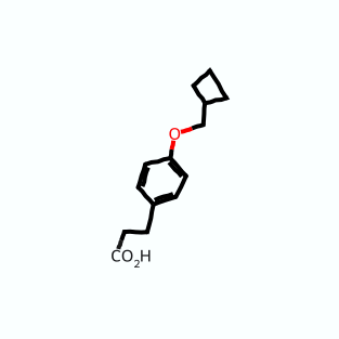 O=C(O)CCc1ccc(OCC2CCC2)cc1